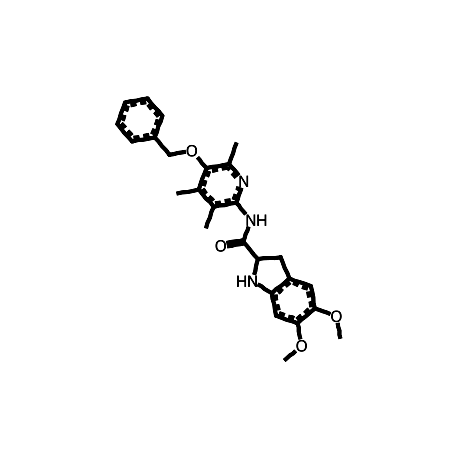 COc1cc2c(cc1OC)NC(C(=O)Nc1nc(C)c(OCc3ccccc3)c(C)c1C)C2